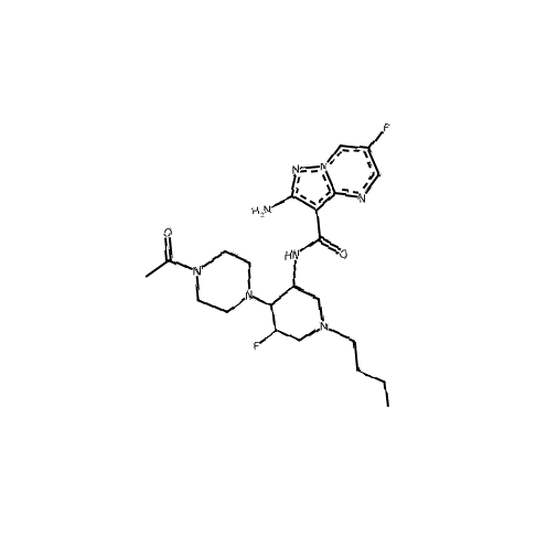 CCCCN1CC(F)C(N2CCN(C(C)=O)CC2)C(NC(=O)c2c(N)nn3cc(F)cnc23)C1